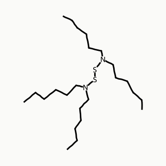 CCCCCCN(CCCCCC)SSN(CCCCCC)CCCCCC